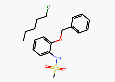 CCCCCCl.CS(=O)(=O)Nc1ccccc1OCc1ccccc1